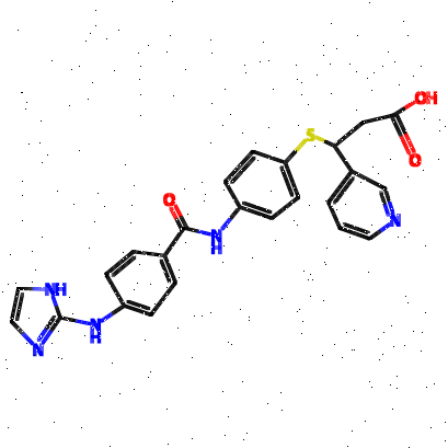 O=C(O)CC(Sc1ccc(NC(=O)c2ccc(Nc3ncc[nH]3)cc2)cc1)c1cccnc1